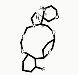 FC1CCCC2OCCCN3CC[C@]4(COCCN4)[C@H]3COC3CCC(CC3)C12